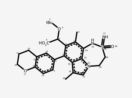 Cc1c(C(OC(C)(C)C)C(=O)O)c(-c2ccc3c(c2)CCCO3)c2c(C)cn3c2c1NS(=N)(=O)CC3